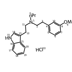 CCCN(CCc1cccc(OC)c1)CCc1c[nH]c2ccccc12.Cl